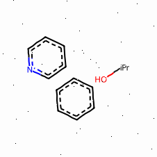 CC(C)O.c1ccccc1.c1ccncc1